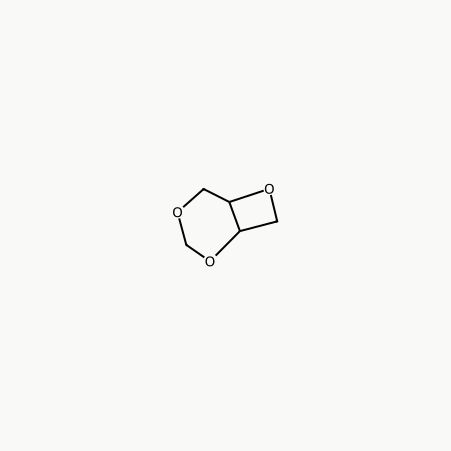 C1OCC2OCC2O1